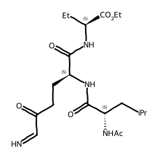 CCOC(=O)[C@H](CC)NC(=O)[C@H](CCC(=O)C=N)NC(=O)[C@H](CC(C)C)NC(C)=O